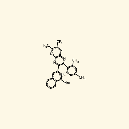 Cc1cc(C)c(-c2nc3nc(C(F)(F)F)c(C(F)(F)F)nc3nc2-c2cc(C(C)(C)C)c3ccccc3c2)c(C)c1